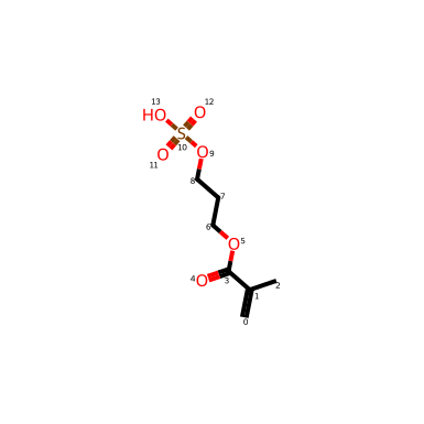 C=C(C)C(=O)OCCCOS(=O)(=O)O